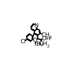 C=C(O)[C@@H](OC(C)(C)C)c1c(C)cc2ncccc2c1-c1ccc(Cl)cc1